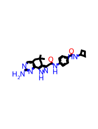 CC1(C)Cc2cnc(N)nc2-c2[nH]nc(C(=O)Nc3ccc(C(=O)NC4CCC4)cc3)c21